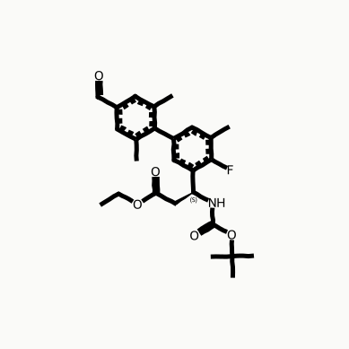 CCOC(=O)C[C@H](NC(=O)OC(C)(C)C)c1cc(-c2c(C)cc(C=O)cc2C)cc(C)c1F